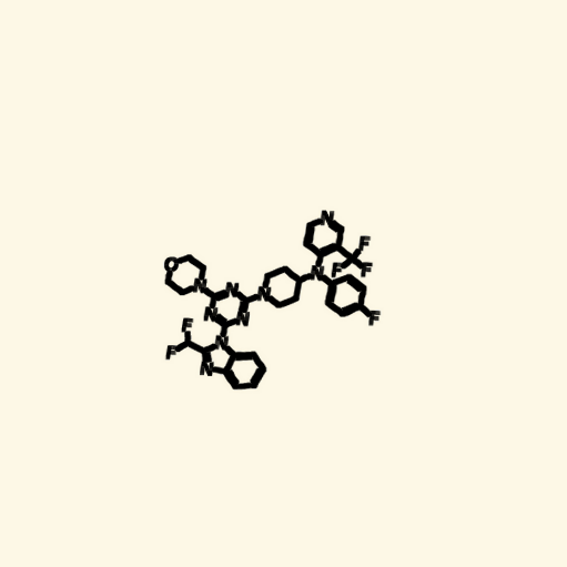 Fc1ccc(N(c2ccncc2C(F)(F)F)C2CCN(c3nc(N4CCOCC4)nc(-n4c(C(F)F)nc5ccccc54)n3)CC2)cc1